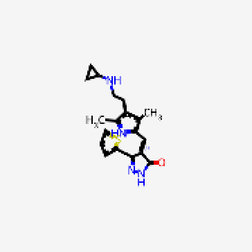 Cc1[nH]c(/C=C2/C(=O)NN=C2c2cccs2)c(C)c1CCNC1CC1